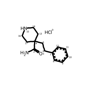 Cl.NC(=O)C1(CCc2ccccc2)CCNCC1